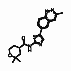 Cc1cc2cc(-c3cnc(NC(=O)C4CCOC(C)(C)C4)s3)ccc2nn1